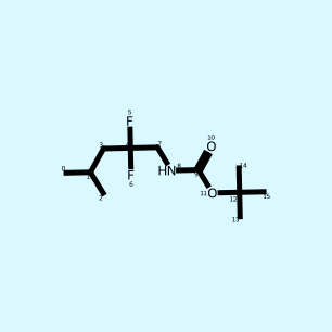 CC(C)CC(F)(F)CNC(=O)OC(C)(C)C